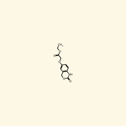 CCOC(=O)COc1ccc2c(c1)COC(=O)N2